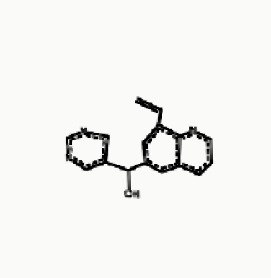 C=Cc1cc(C(O)c2cncnc2)cc2cccnc12